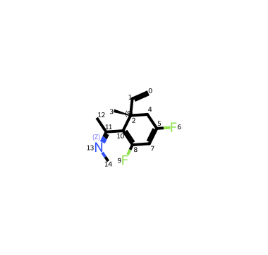 C=C[C@]1(C)CC(F)=CC(F)=C1/C(C)=N\C